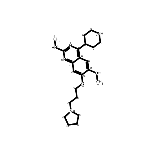 CNc1nc(C2CCNCC2)c2cc(OC)c(OCCCN3CCCC3)cc2n1